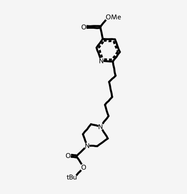 COC(=O)c1ccc(CCCCCN2CCN(C(=O)OC(C)(C)C)CC2)nc1